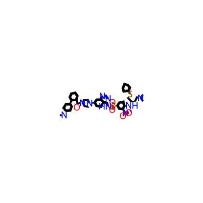 CN(C)CC[C@H](CSc1ccccc1)Nc1ccc(S(=O)(=O)Nc2ncnc3cc(N4CCN(C(=O)c5ccccc5-c5ccc(N(C)C)cc5)CC4)ccc23)cc1[N+](=O)[O-]